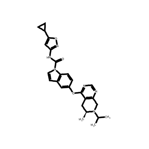 CC(C)N1Cc2ncnc(Oc3ccc4c(ccn4C(=O)Nc4cc(C5CC5)on4)c3)c2C[C@@H]1C